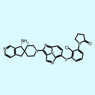 N[C@H]1c2cnccc2CC12CCN(c1nc3ccc(Sc4cccc(N5CCCC5=O)c4Cl)c4ncc1n34)CC2